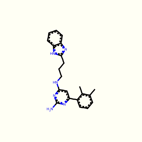 Cc1cccc(-c2cc(NCCCc3nc4ccccc4[nH]3)nc(N)n2)c1C